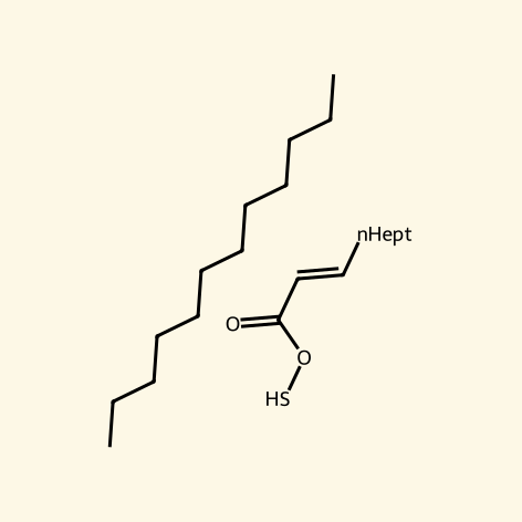 CCCCCCCC=CC(=O)OS.CCCCCCCCCCCC